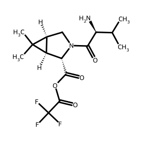 CC(C)[C@H](N)C(=O)N1C[C@H]2[C@@H]([C@H]1C(=O)OC(=O)C(F)(F)F)C2(C)C